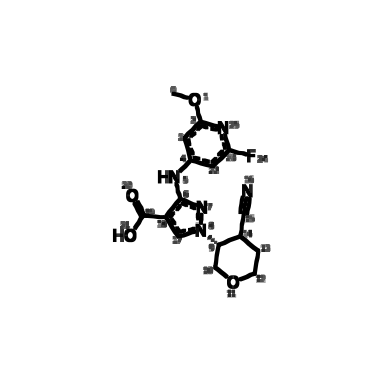 COc1cc(Nc2nn([C@H]3COCCC3C#N)cc2C(=O)O)cc(F)n1